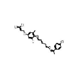 CC(=NOCCCCCOc1c(C)cc(OCC=C(Cl)Cl)cc1Cl)c1ccc(Cl)cc1